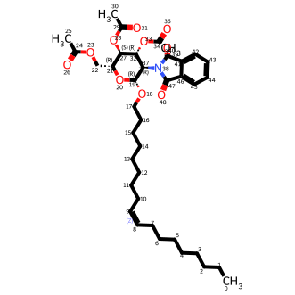 CCCCCCCC/C=C\CCCCCCCCO[C@@H]1O[C@H](COC(C)=O)[C@@H](OC(C)=O)[C@H](OC(C)=O)[C@H]1N1C(=O)c2ccccc2C1=O